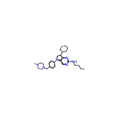 CCCCNc1ncc2c(n1)c(C1CCCCC1)cn2-c1ccc(CN2CCN(C)CC2)cc1